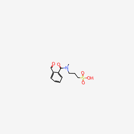 CN(CCCS(=O)(=O)O)C(=O)c1ccccc1C=O